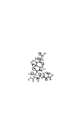 CCC(C)C(C(CC(=O)N1CCCC1C(OC)C(C)C(=O)NCC(C)=O)OC)N(C)C(=O)CNC(=O)C(C(C)C)N(C)C